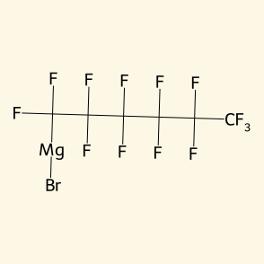 FC(F)(F)C(F)(F)C(F)(F)C(F)(F)C(F)(F)[C](F)(F)[Mg][Br]